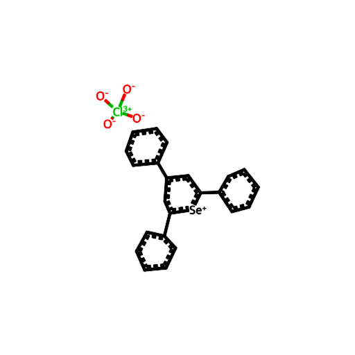 [O-][Cl+3]([O-])([O-])[O-].c1ccc(-c2cc(-c3ccccc3)[se+]c(-c3ccccc3)c2)cc1